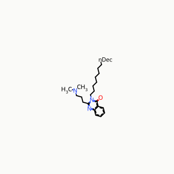 CCCCCCCCCCCCCCCCCCn1c(CCCN(C)C)nc2ccccc2c1=O